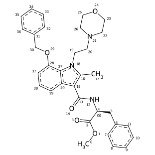 COC(=O)[C@H](Cc1ccccc1)NC(=O)c1c(C)n(CCN2CCOCC2)c2c(OCc3ccccc3)cccc12